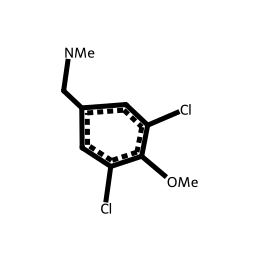 CNCc1cc(Cl)c(OC)c(Cl)c1